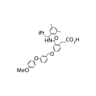 COc1ccc(Oc2cccc(COc3ccc(CCC(=O)O)c(C(=O)NC(CC(C)C)c4cc(C)cc(C)c4)c3)c2)cc1